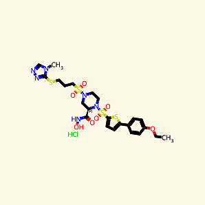 CCOc1ccc(-c2ccc(S(=O)(=O)N3CCN(S(=O)(=O)CCCSc4nncn4C)C[C@@H]3C(=O)NO)s2)cc1.Cl